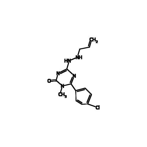 C=CCNNc1nc(-c2ccc(Cl)cc2)n(C)c(=O)n1